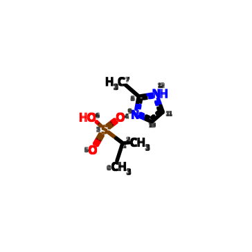 CC(C)S(=O)(=O)O.Cc1ncc[nH]1